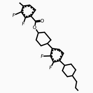 CCCC1CCC(c2ccc(C3CCC(OC(=O)c4ccc(C)c(F)c4F)CC3)c(F)c2F)CC1